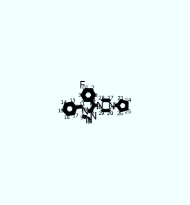 Fc1ccc(C(c2nncn2Cc2ccccc2)N2CCN(C3CCCC3)CC2)cc1